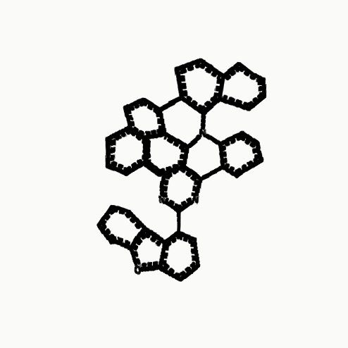 c1ccc(-c2nc(-c3ccccc3N3c4c(ccc5ccccc45)-c4cccc5cccc3c45)nc(-c3cccc4oc5ccccc5c34)n2)cc1